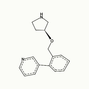 c1cncc(-c2ccccc2CO[C@H]2CCNC2)c1